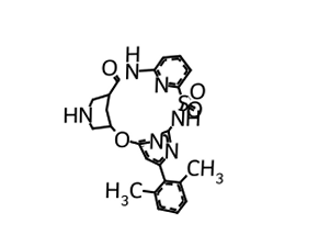 Cc1cccc(C)c1-c1cc2nc(n1)NS(=O)(=O)c1cccc(n1)NC(=O)C1CNCC(C1)O2